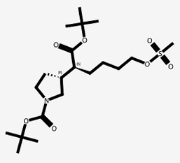 CC(C)(C)OC(=O)[C@@H](CCCCOS(C)(=O)=O)[C@H]1CCN(C(=O)OC(C)(C)C)C1